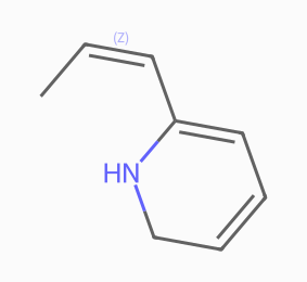 C/C=C\C1=CC=CCN1